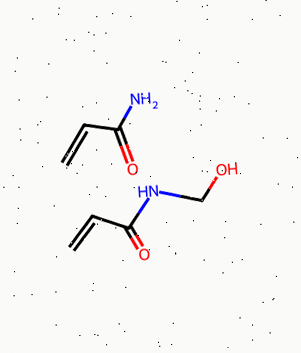 C=CC(=O)NCO.C=CC(N)=O